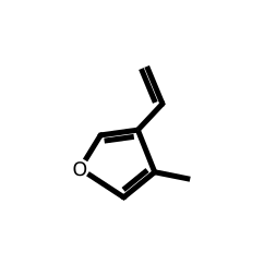 C=Cc1cocc1C